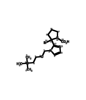 C[Si](C)(C)CCOCn1ccnc1C1(Br)CCCN1C(=O)O